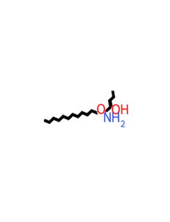 CCC=C(O)C(N)OCCCCCCCCCCCC